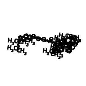 CC(=O)O[C@@]12CO[C@@H]1C[C@H](C)[C@@]1(C)C(=O)[C@H](C)C3=C(C)[C@@H](OC(=O)[C@H](OC(=O)CCC(=O)CCCOCCOCCO[C@H]4CC[C@@]5(C)C(=CCC6C5CC[C@@]5(C)C6CC[C@@H]5[C@H](C)CCCC(C)C)C4)[C@@H](NC(=O)OC(C)(C)C)c4ccccc4)C[C@@](O)([C@@H](OC(=O)c4ccccc4)[C@H]21)C3(C)C